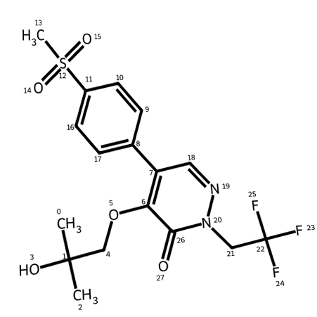 CC(C)(O)COc1c(-c2ccc(S(C)(=O)=O)cc2)cnn(CC(F)(F)F)c1=O